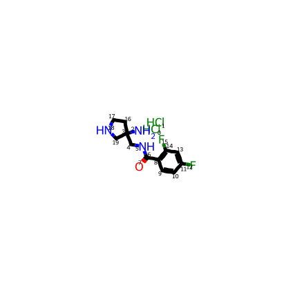 Cl.Cl.NC1(CNC(=O)c2ccc(F)cc2F)CCNC1